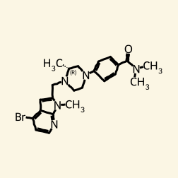 C[C@@H]1CN(c2ccc(C(=O)N(C)C)cc2)CCN1Cc1cc2c(Br)ccnc2n1C